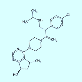 C=C([C@H](CNC(C)C)c1ccc(Cl)cc1)N1CCN(c2ncnc3c2[C@H](C)C[C@H]3O)CC1